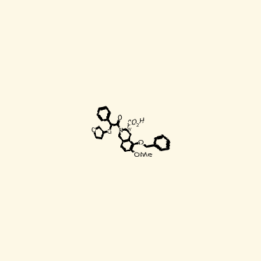 COc1ccc2c(c1OCc1ccccc1)C[C@@H](C(=O)O)N(C(=O)C(OC1CCOC1)c1ccccc1)C2